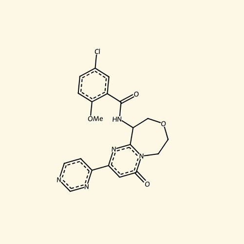 COc1ccc(Cl)cc1C(=O)NC1COCCn2c1nc(-c1ccncn1)cc2=O